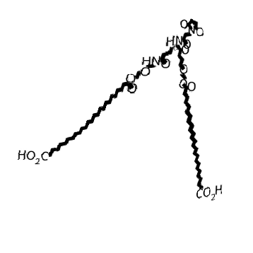 O=C(O)CCCCCCCCCCCCCCCCCCCCCCCCC(=O)OCCOCCCC(=O)[C@H](CCCC(=O)NCCOCCOC(=O)CCCCCCCCCCCCCCCCCCCCCCCCC(=O)O)NC(=O)CCN1C(=O)C=CC1=O